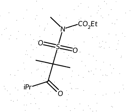 [CH2]COC(=O)N(C)S(=O)(=O)C(C)(C)C(=O)C(C)C